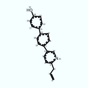 C=CCc1ccc(-c2ccc(-c3ccc(O)cc3)cc2)cn1